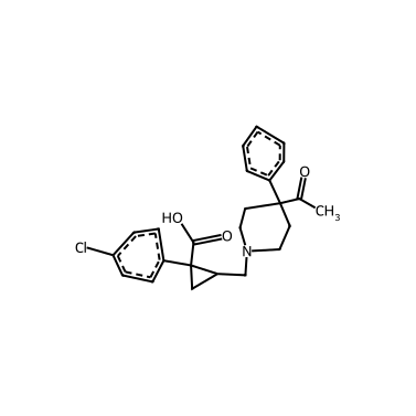 CC(=O)C1(c2ccccc2)CCN(CC2CC2(C(=O)O)c2ccc(Cl)cc2)CC1